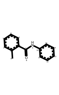 Cc1ccccc1C(=O)Nc1[c]cccc1